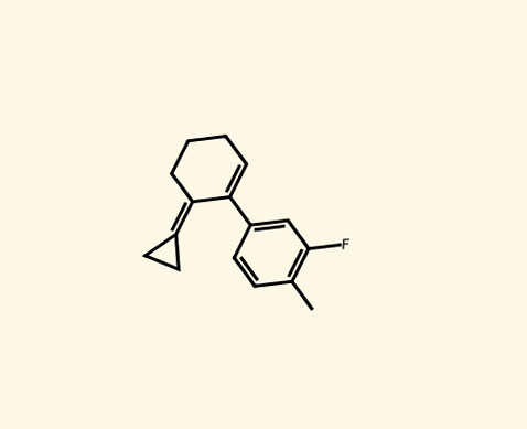 Cc1ccc(C2=CCCCC2=C2CC2)cc1F